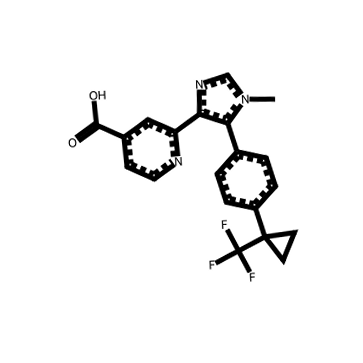 Cn1cnc(-c2cc(C(=O)O)ccn2)c1-c1ccc(C2(C(F)(F)F)CC2)cc1